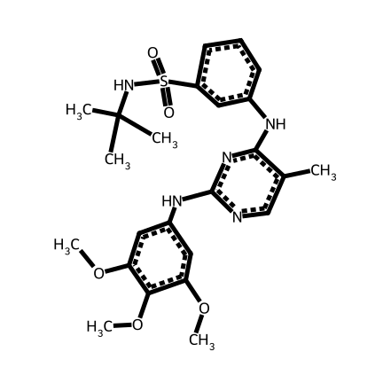 COc1cc(Nc2ncc(C)c(Nc3cccc(S(=O)(=O)NC(C)(C)C)c3)n2)cc(OC)c1OC